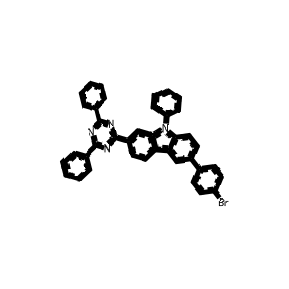 Brc1ccc(-c2ccc3c(c2)c2ccc(-c4nc(-c5ccccc5)nc(-c5ccccc5)n4)cc2n3-c2ccccc2)cc1